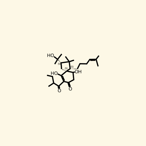 CCC(C)C(=O)C1=C(O)[C@]2(C[C@H](C(C)(C)O)C(C)(C)[C@@H]2CCCC=C(C)C)C(O)CC1=O